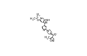 Cc1oncc1[S+]([O-])N1CCN(c2cc(-c3n[nH]c4cnc(OC(C)C)cc34)ccn2)CC1